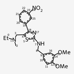 CCN(C)Cc1sc(NCc2ccc(OC)c(OC)c2)nc1-c1cccc([N+](=O)[O-])c1